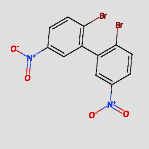 O=[N+]([O-])c1ccc(Br)c(-c2cc([N+](=O)[O-])ccc2Br)c1